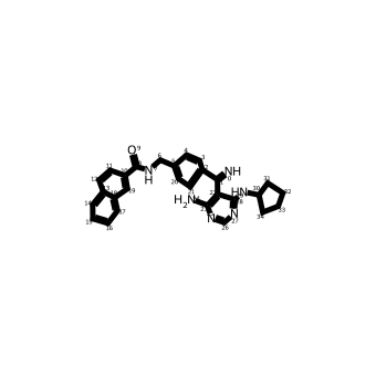 N=C(c1ccc(CNC(=O)c2ccc3ccccc3c2)cc1)c1c(N)ncnc1NC1CCCC1